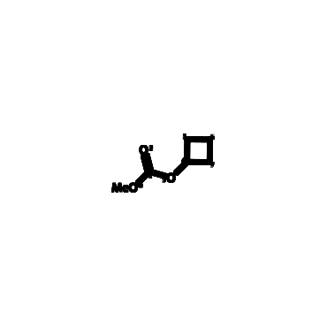 [CH2]OC(=O)OC1CCC1